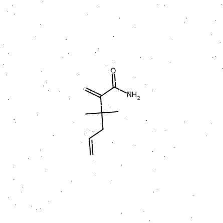 [CH]=C(C(N)=O)C(C)(C)CC=C